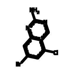 Nc1ncc2c(Cl)cc(Br)cc2n1